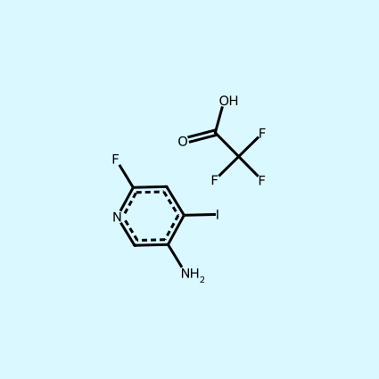 Nc1cnc(F)cc1I.O=C(O)C(F)(F)F